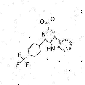 COC(=O)c1cc2c([nH]c3ccccc32)c(C2C=CC(C(F)(F)F)CC2)n1